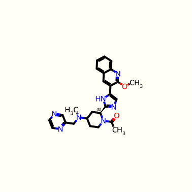 COc1nc2ccccc2cc1-c1cnc([C@@H]2CC(N(C)Cc3cnccn3)CCN2C(C)=O)[nH]1